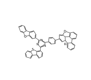 C1=C(c2ccc(-c3nc(-c4ccc5c(c4)oc4ccccc45)nc(-c4cccc5c4sc4ccccc45)n3)cc2)C=C2Oc3cccc4c3C2[C@H]1c1ccccc1-4